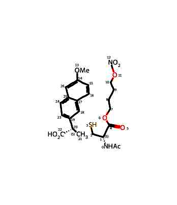 CC(=O)N[C@H](CS)C(=O)OCCCCO[N+](=O)[O-].COc1ccc2cc([C@H](C)C(=O)O)ccc2c1